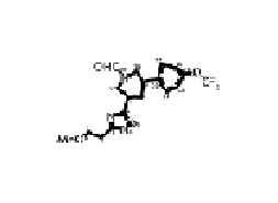 COCCc1noc(C2CC(c3ccc(OC(F)(F)F)cc3)CN(C=O)C2)n1